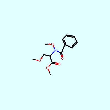 COCC(C(=O)OC)N(OC)C(=O)c1ccccc1